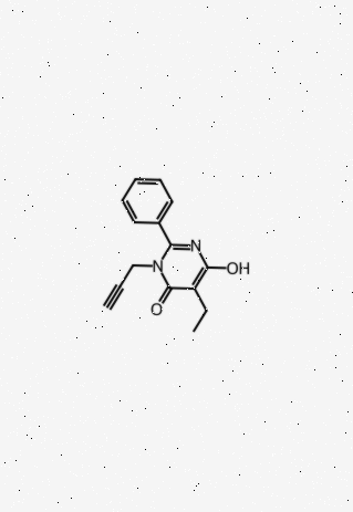 C#CCn1c(-c2ccccc2)nc(O)c(CC)c1=O